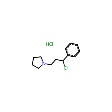 Cl.ClC(CCN1CCCC1)c1ccccc1